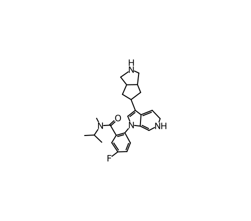 CC(C)N(C)C(=O)c1cc(F)ccc1-n1cc(C2CC3CNCC3C2)c2c1=CNCC=2